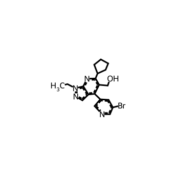 CCn1ncc2c(-c3cncc(Br)c3)c(CO)c(C3CCCC3)nc21